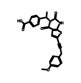 COc1ccc(CC#Cc2cc3c(=O)n(C(C)c4ccc(C(=O)O)cc4)c(=O)[nH]c3s2)cc1